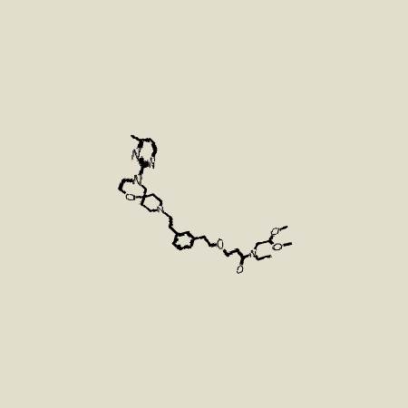 CCN(CC(OC)OC)C(=O)CCOCCc1cccc(CCN2CCC3(CC2)CN(c2nccc(C)n2)CCO3)c1